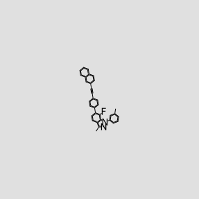 Cc1cccc(-n2nc(C)c3ccc(-c4ccc(C#Cc5ccc6ccccc6c5)cc4)c(F)c32)c1